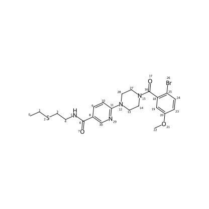 CCSCCNC(=O)c1ccc(N2CCN(C(=O)c3cc(OC)ccc3Br)CC2)nc1